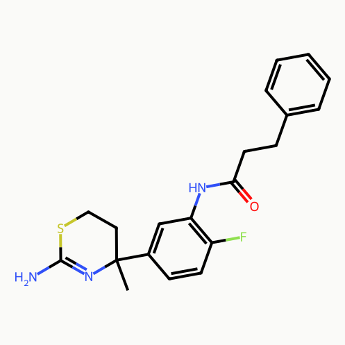 CC1(c2ccc(F)c(NC(=O)CCc3ccccc3)c2)CCSC(N)=N1